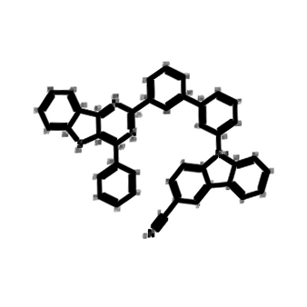 N#Cc1ccc2c(c1)c1ccccc1n2-c1cccc(-c2cccc(-c3nc(-c4ccccc4)c4sc5ccccc5c4n3)c2)c1